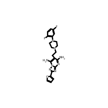 Nc1nc2nc(-c3ccco3)nn2c(N)c1CCN1CCN(c2cc(F)ccc2F)CC1